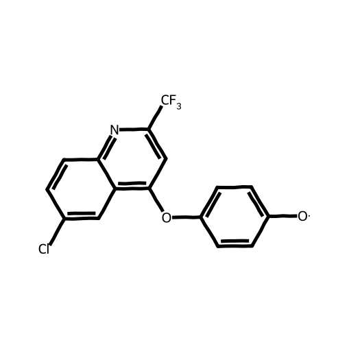 [O]c1ccc(Oc2cc(C(F)(F)F)nc3ccc(Cl)cc23)cc1